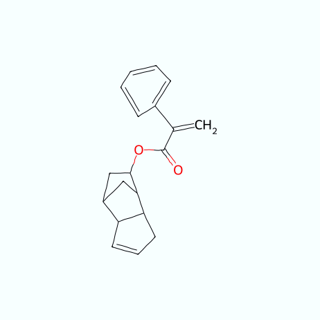 C=C(C(=O)OC1CC2CC1C1CC=CC21)c1ccccc1